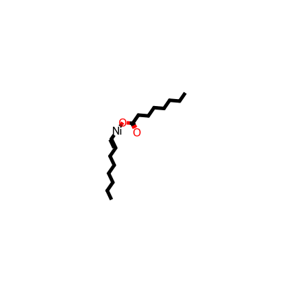 CCCCCCC=[CH][Ni][O]C(=O)CCCCCCC